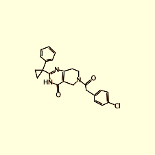 O=C(Cc1ccc(Cl)cc1)N1CCc2nc(C3(c4ccccc4)CC3)[nH]c(=O)c2C1